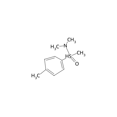 Cc1ccc([SH](C)(=O)N(C)C)cc1